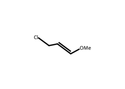 CO/C=C/CCl